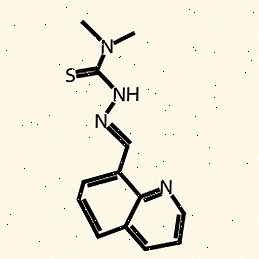 CN(C)C(=S)NN=Cc1cccc2cccnc12